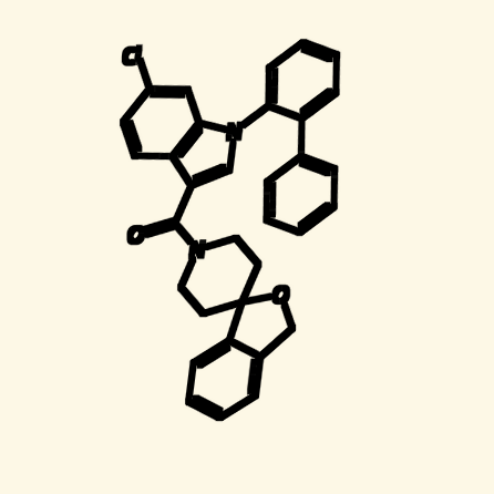 O=C(c1cn(-c2ccccc2-c2ccccc2)c2cc(Cl)ccc12)N1CCC2(CC1)OCc1ccccc12